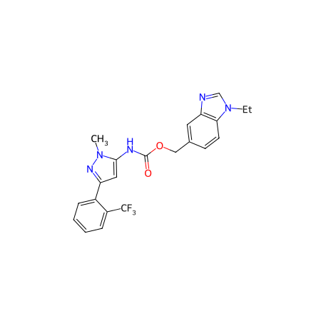 CCn1cnc2cc(COC(=O)Nc3cc(-c4ccccc4C(F)(F)F)nn3C)ccc21